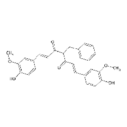 COc1cc(/C=C/C(=O)C(Cc2ccccc2)C(=O)/C=C/c2ccc(O)c(OC)c2)ccc1O